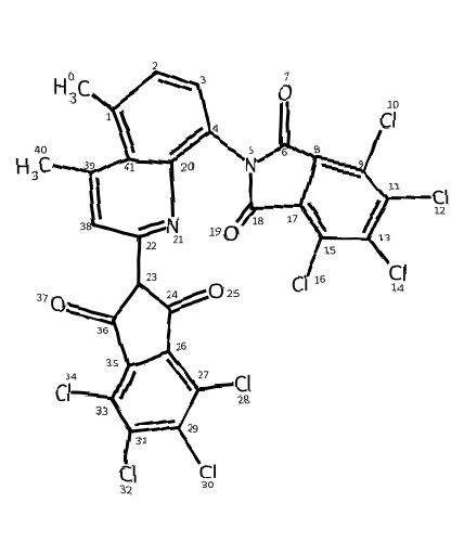 Cc1ccc(N2C(=O)c3c(Cl)c(Cl)c(Cl)c(Cl)c3C2=O)c2nc(C3C(=O)c4c(Cl)c(Cl)c(Cl)c(Cl)c4C3=O)cc(C)c12